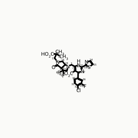 CCOC(=O)C1=C(CN2CC(F)(F)C3C(=O)N(CC(C)(C)C(=O)O)CC32)NC(c2nccs2)=NC1c1ccc(Cl)c(F)c1